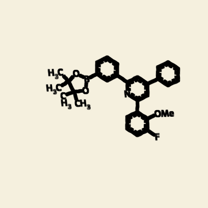 COc1c(F)cccc1-c1cc(-c2ccccc2)cc(-c2cccc(B3OC(C)(C)C(C)(C)O3)c2)n1